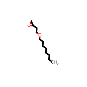 [CH2]CCCCCCCOCCC1CO1